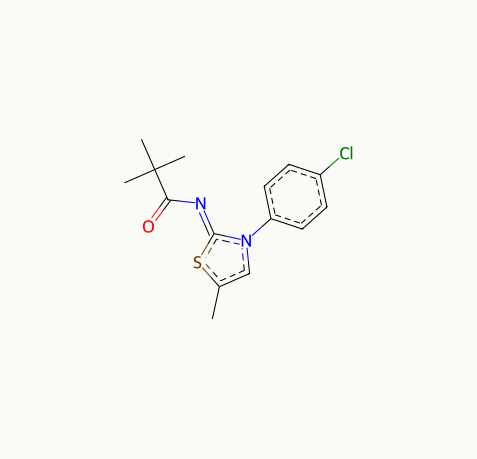 Cc1cn(-c2ccc(Cl)cc2)c(=NC(=O)C(C)(C)C)s1